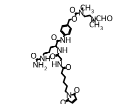 CN(C=O)CCN(C)C(=O)OCc1ccc(NC(=O)C(CCCNC(N)=O)NC(=O)CNC(=O)CCCCCN2C(=O)C=CC2=O)cc1